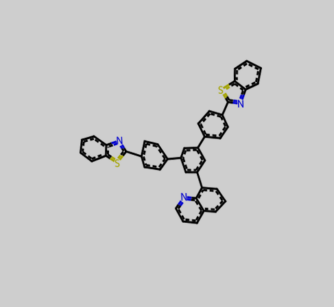 c1cnc2c(-c3cc(-c4ccc(-c5nc6ccccc6s5)cc4)cc(-c4ccc(-c5nc6ccccc6s5)cc4)c3)cccc2c1